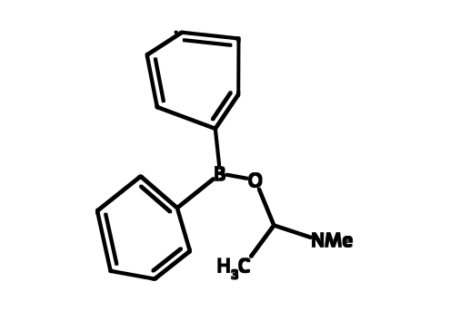 CNC(C)OB(c1cc[c]cc1)c1ccccc1